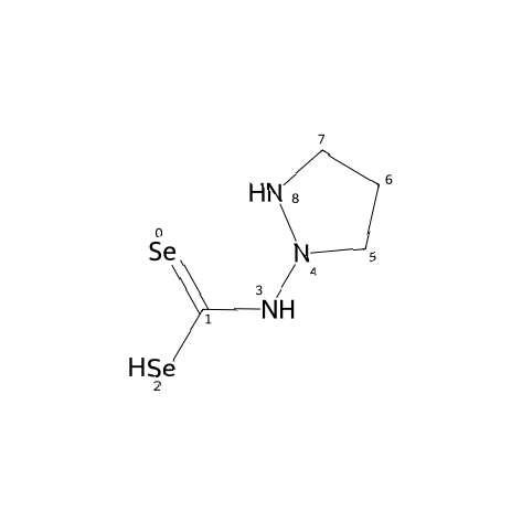 [Se]=C([SeH])NN1CCCN1